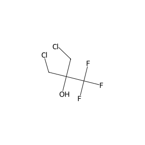 OC(CCl)(CCl)C(F)(F)F